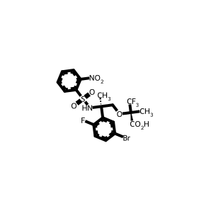 C[C@@](CO[C@](C)(C(=O)O)C(F)(F)F)(NS(=O)(=O)c1ccccc1[N+](=O)[O-])c1cc(Br)ccc1F